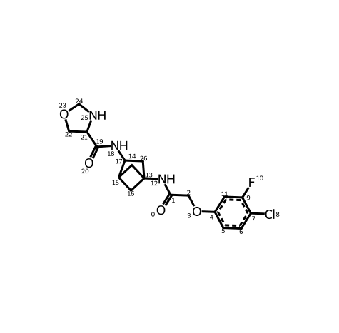 O=C(COc1ccc(Cl)c(F)c1)NC12CC(C1)C(NC(=O)C1COCN1)C2